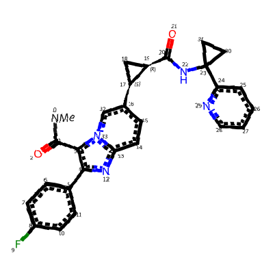 CNC(=O)c1c(-c2ccc(F)cc2)nc2ccc([C@H]3C[C@H]3C(=O)NC3(c4ccccn4)CC3)cn12